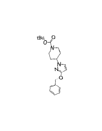 CC(C)(C)OC(=O)N1CCC(n2ccc(OCc3ccccc3)n2)CC1